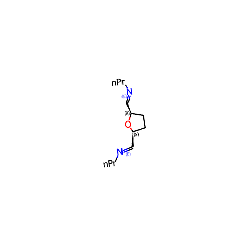 CCC/N=C/[C@@H]1CC[C@H](/C=N/CCC)O1